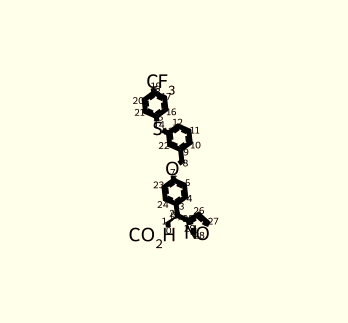 O=C(O)C[C@@H](c1ccc(OCc2cccc(Sc3ccc(C(F)(F)F)cc3)c2)cc1)c1ccon1